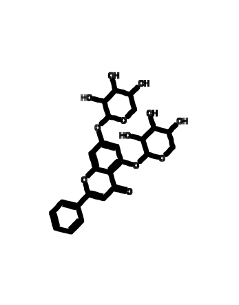 O=c1cc(-c2ccccc2)oc2cc(OC3OCC(O)C(O)C3O)cc(OC3OCC(O)C(O)C3O)c12